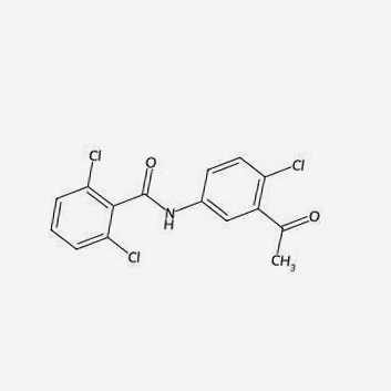 CC(=O)c1cc(NC(=O)c2c(Cl)cccc2Cl)ccc1Cl